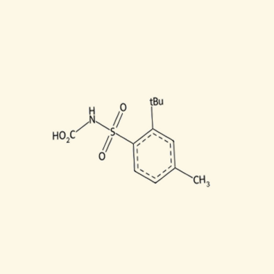 Cc1ccc(S(=O)(=O)NC(=O)O)c(C(C)(C)C)c1